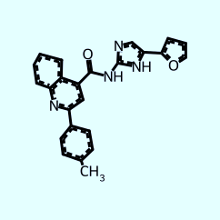 Cc1ccc(-c2cc(C(=O)Nc3ncc(-c4ccco4)[nH]3)c3ccccc3n2)cc1